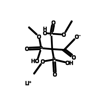 COP(=O)(O)C(C(=O)[O-])(P(=O)(O)OC)P(=O)(O)OC.[Li+]